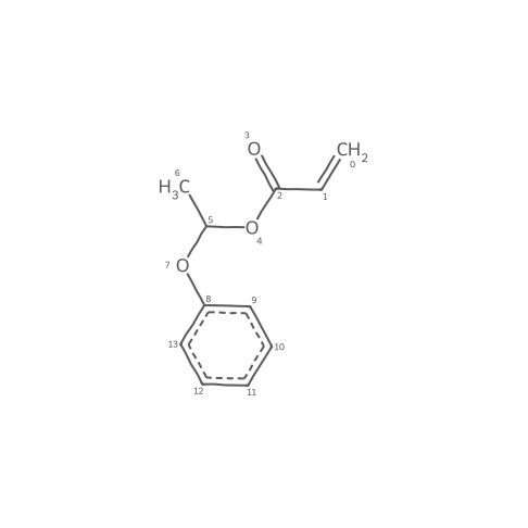 C=CC(=O)OC(C)Oc1ccccc1